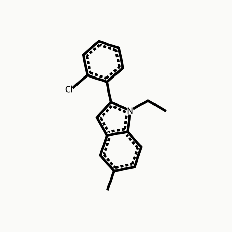 CCn1c(-c2ccccc2Cl)cc2cc(C)ccc21